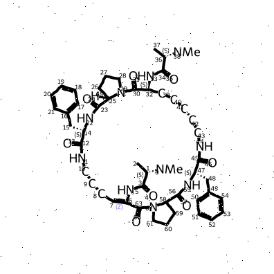 CN[C@@H](C)C(=O)N/C1=C\CCCNC(=O)[C@H](Cc2ccccc2)NC(=O)[C@@H]2CCCN2C(=O)[C@@H](NC(=O)[C@H](C)NC)CCCCCNC(=O)[C@H](Cc2ccccc2)NC(=O)C2CCCN2C1=O